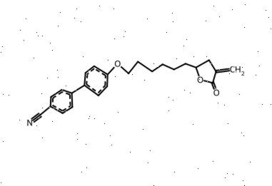 C=C1CC(CCCCCCOc2ccc(-c3ccc(C#N)cc3)cc2)OC1=O